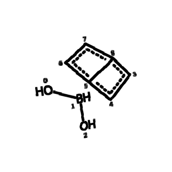 OBO.c1cc2ccc1-2